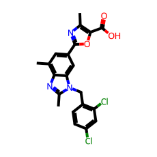 Cc1nc(-c2cc(C)c3nc(C)n(Cc4ccc(Cl)cc4Cl)c3c2)oc1C(=O)O